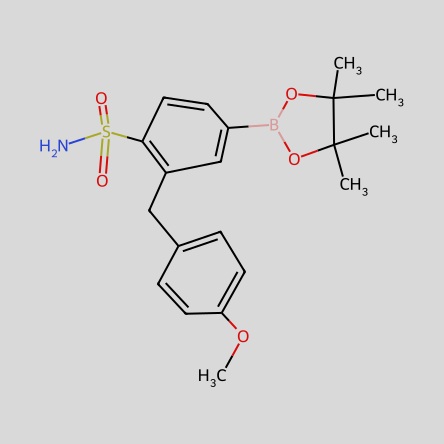 COc1ccc(Cc2cc(B3OC(C)(C)C(C)(C)O3)ccc2S(N)(=O)=O)cc1